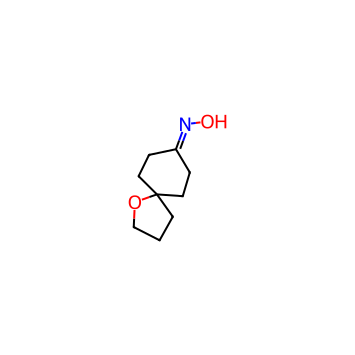 ON=C1CCC2(CCCO2)CC1